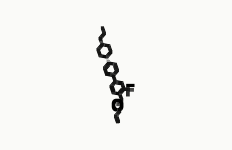 C=CCOCc1ccc(-c2ccc([C@H]3CC[C@H](CCC)CC3)cc2)cc1F